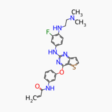 C=CC(=O)Nc1cccc(Oc2nc(Nc3ccc(NCCN(C)C)c(F)c3)nc3ccsc23)c1